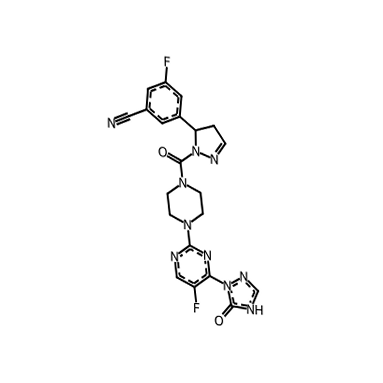 N#Cc1cc(F)cc(C2CC=NN2C(=O)N2CCN(c3ncc(F)c(-n4nc[nH]c4=O)n3)CC2)c1